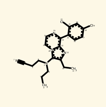 CCCN(CCC#N)c1c(CC)nc2c(-c3ccc(Cl)cc3Cl)nccn12